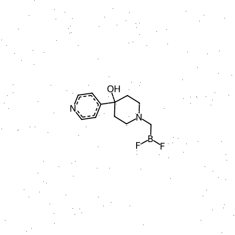 OC1(c2ccncc2)CCN(CB(F)F)CC1